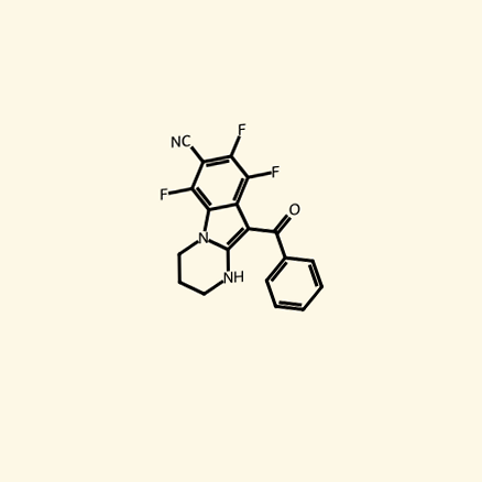 N#Cc1c(F)c(F)c2c(C(=O)c3ccccc3)c3n(c2c1F)CCCN3